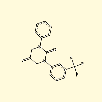 C=C1CN(c2ccccc2)C(=O)N(c2cccc(C(F)(F)F)c2)C1